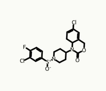 O=C1OCC2=CC(Cl)=CCC2N1C1CCN([S+]([O-])c2ccc(F)c(Cl)c2)CC1